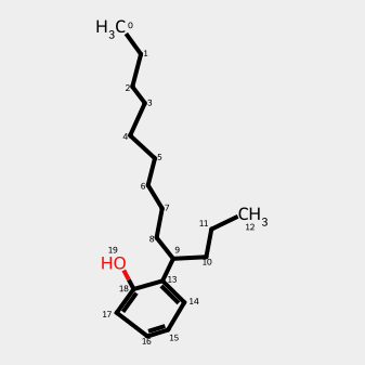 CCCCCCCCCC(CCC)c1ccccc1O